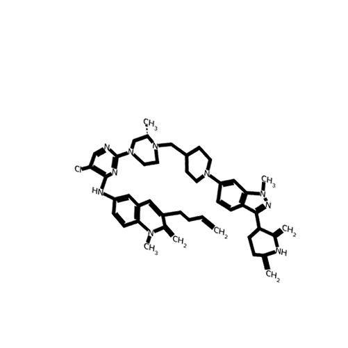 C=CCCC1=Cc2cc(Nc3nc(N4CCN(CC5CCN(c6ccc7c(C8CCC(=C)NC8=C)nn(C)c7c6)CC5)[C@@H](C)C4)ncc3Cl)ccc2N(C)C1=C